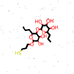 CCCC1OC(OC2C(CCC)OC(OCCCS)C(O)C2O)C(O)C(O)C1O